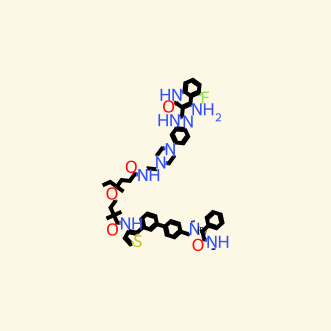 CCC(C)(CCC(=O)NCCN1CCN(c2ccc3nc(-c4c(N)c5c(F)cccc5[nH]c4=O)[nH]c3c2)CC1)OCCC(C)(C)C(=O)Nc1ccsc1-c1cccc(-c2ccc(CN(C)[C@@H](C(=O)NC)c3ccccc3)cc2)c1